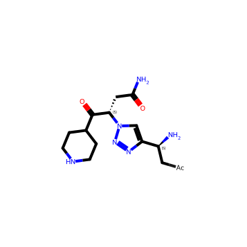 CC(=O)C[C@H](N)c1cn([C@@H](CC(N)=O)C(=O)C2CCNCC2)nn1